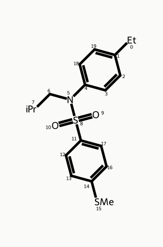 CCc1ccc(N(CC(C)C)S(=O)(=O)c2ccc(SC)cc2)cc1